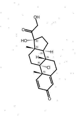 C[C@]12C=CC(=O)C=C1CC[C@H]1[C@@H]3CC[C@](O)(C(=O)CO)[C@@]3(C)CC[C@@]12Cl